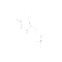 Cn1cc(CNC(=O)C(F)(F)F)c(=O)[nH]c1=S